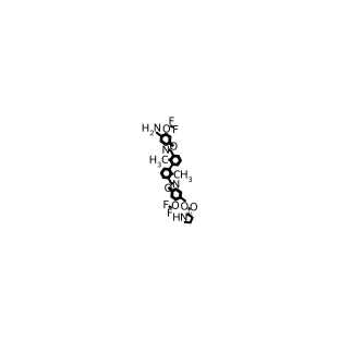 Cc1c(-c2nc3cc(CN)c(OC(F)F)cc3o2)cccc1-c1cccc(-c2nc3cc(COC(=O)[C@@H]4CCCN4)c(OC(F)F)cc3o2)c1C